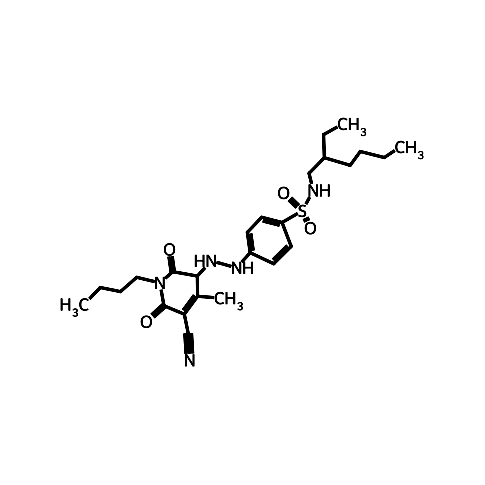 CCCCC(CC)CNS(=O)(=O)c1ccc(NNC2C(=O)N(CCCC)C(=O)C(C#N)=C2C)cc1